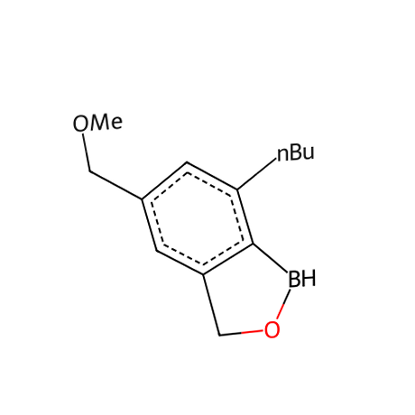 CCCCc1cc(COC)cc2c1BOC2